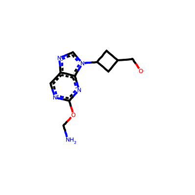 NCOc1ncc2ncn(C3CC(C[O])C3)c2n1